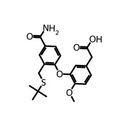 COc1ccc(CC(=O)O)cc1Oc1ccc(C(N)=O)cc1CSC(C)(C)C